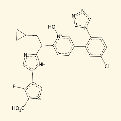 O=C(O)c1scc(-c2cnc(C(CC3CC3)c3ccc(-c4cc(Cl)ccc4-n4cnnc4)c[n+]3O)[nH]2)c1F